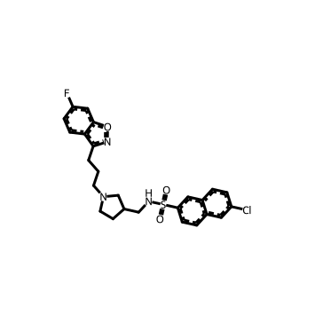 O=S(=O)(NCC1CCN(CCCc2noc3cc(F)ccc23)C1)c1ccc2cc(Cl)ccc2c1